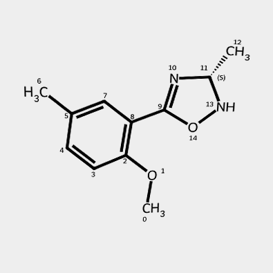 COc1ccc(C)cc1C1=N[C@H](C)NO1